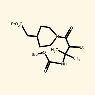 CCOC(=O)CC1CCN(C(=O)C(CC)C(C)(C)NC(=O)OC(C)(C)C)CC1